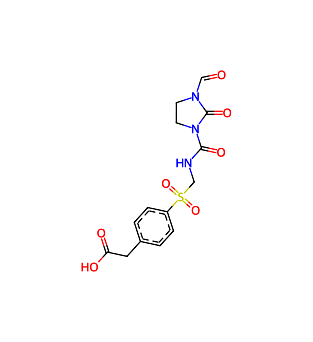 O=CN1CCN(C(=O)NCS(=O)(=O)c2ccc(CC(=O)O)cc2)C1=O